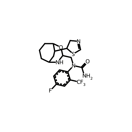 NC(=O)N(CC1NC2CCCC(O1)C(C1CN=CS1)C2)c1ccc(F)cc1C(F)(F)F